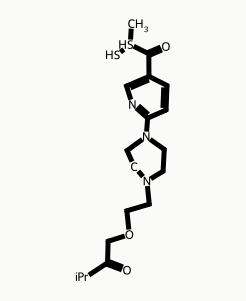 CC(C)C(=O)COCCN1CCN(c2ccc(C(=O)[SH](C)S)cn2)CC1